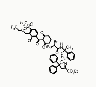 CC(C)(NC(=O)C(Br)C(C)(C)C)c1ccccc1.CCOC(=O)C1=NOC(c2ccccc2)(c2ccccc2)C1.CS(=O)(=O)c1ccc(C(=O)C2C(=O)CCCC2=O)c(Cl)c1COCC(F)(F)F